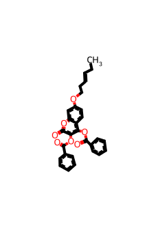 CCC=CCCOc1ccc2c(OC(=O)c3ccccc3)c(OC(=O)c3ccccc3)c(=O)oc2c1